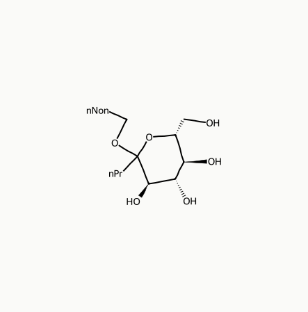 CCCCCCCCCCOC1(CCC)O[C@H](CO)[C@@H](O)[C@H](O)[C@H]1O